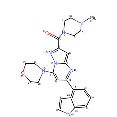 CC(C)(C)N1CCN(C(=O)c2cc3nc(-c4cccc5[nH]ccc45)cc(N4CCOCC4)n3n2)CC1